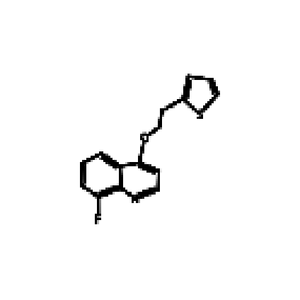 Fc1cccc2c(OCCc3cccs3)ccnc12